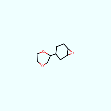 C1COC(C2CCC3OC3C2)CO1